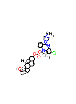 CC(=O)C1CCC2C3CC=C4CC(OC(=O)OC(C)N5C6=CC=C(Cl)CC6N=C(N6CCN(C)CC6)c6ccccc65)CCC4(C)C3CCC12C